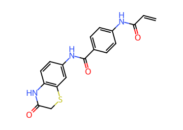 C=CC(=O)Nc1ccc(C(=O)Nc2ccc3c(c2)SCC(=O)N3)cc1